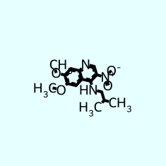 COc1cc2ncc([N+](=O)[O-])c(NCC(C)C)c2cc1OC